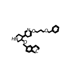 C1=NC(OCCCOCc2ccccc2)=CCC1=C1CCNCC1OCc1ccc2ccccc2c1